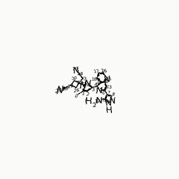 Cc1cc(-c2nc(-c3cn[nH]c3N)cc3ncccc23)nn1[C@]1(CC#N)C[C@@H](C#N)C1